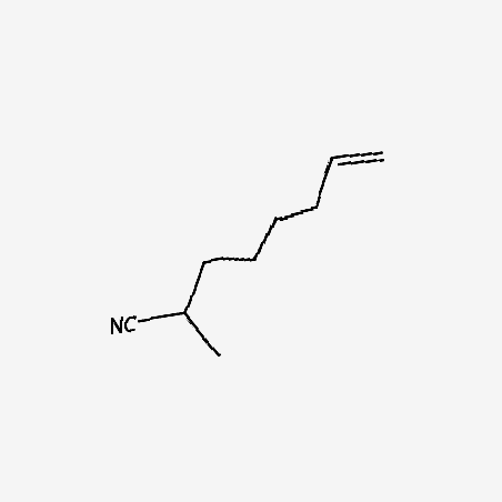 C=CCCCCC(C)C#N